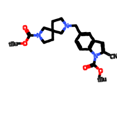 CC(C)(C)OC(=O)N1CCC2(CCN(Cc3ccc4c(c3)cc(C#N)n4C(=O)OC(C)(C)C)C2)C1